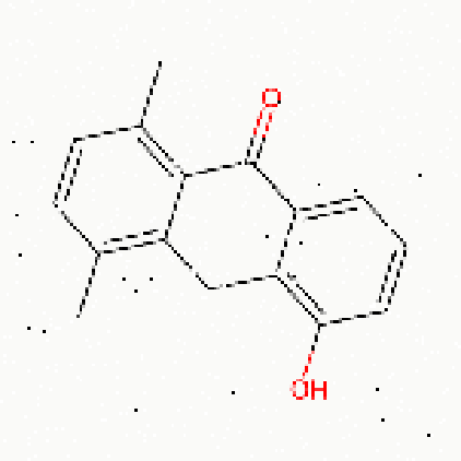 Cc1ccc(C)c2c1Cc1c(O)cccc1C2=O